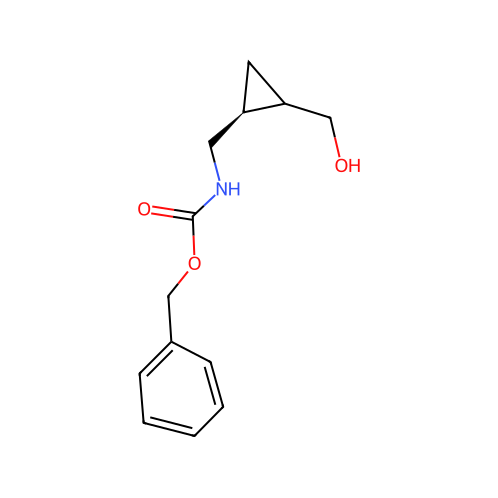 O=C(NC[C@H]1CC1CO)OCc1ccccc1